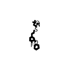 CC1(C)CC(SC/C=C/c2ccc(F)c(Oc3ccccc3)c2)=NO1